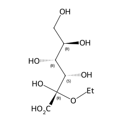 CCO[C@@](O)(C(=O)O)[C@@H](O)[C@H](O)[C@H](O)CO